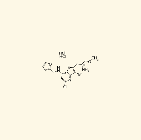 COC[C@H](N)Cc1sc2c(NCc3ccco3)cc(Cl)nc2c1Br.Cl.Cl